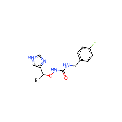 CCC(ONC(=O)NCc1ccc(F)cc1)c1c[nH]cn1